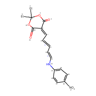 CCC1(CC)OC(=O)C(=C/C=C/C=C/Nc2ccc([N+](=O)[O-])cc2)C(=O)O1